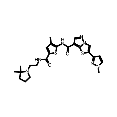 Cc1cc(C(=O)NCCN2CCCC2(C)C)sc1NC(=O)c1cnn2cc(-c3ccn(C)n3)sc12